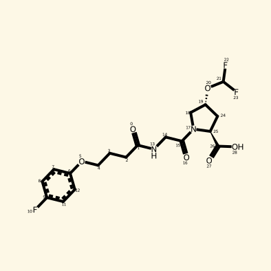 O=C(CCCOc1ccc(F)cc1)NCC(=O)N1C[C@H](OC(F)F)C[C@H]1C(=O)O